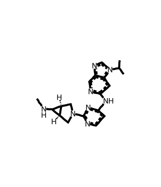 CNC1[C@H]2CN(c3nccc(Nc4cc5c(cn4)ncn5C(C)C)n3)C[C@@H]12